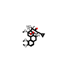 COc1ccc2c(c1OC)[C@]13CCN(CC4CC4)[C@H](C2)[C@]12CC[C@](OC)(C3)[C@@H]([C@](C)(O)C(C)(C)C)C2